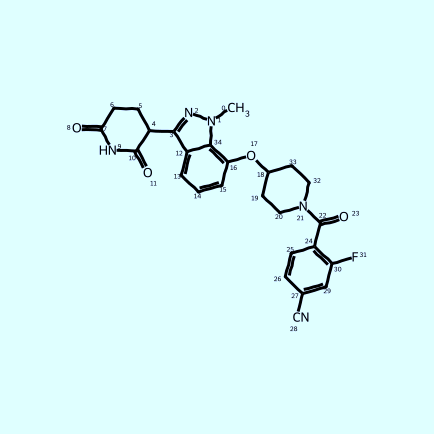 Cn1nc(C2CCC(=O)NC2=O)c2cccc(OC3CCN(C(=O)c4ccc(C#N)cc4F)CC3)c21